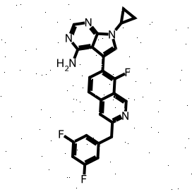 Nc1ncnc2c1c(-c1ccc3cc(Cc4cc(F)cc(F)c4)ncc3c1F)cn2C1CC1